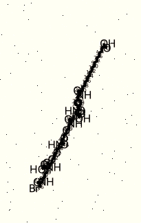 O=C(O)CCCCCCCCCCCCCCCCCCC(=O)NCC1CCC(C(=O)N[C@@H](CCC(=O)NCCOCCOCC(=O)NCCOCCOCC(=O)N[C@@H](CCCCNC(=O)CBr)C(=O)O)C(=O)O)CC1